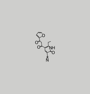 CCc1[nH]c(=O)c(C#N)cc1C(=O)CC(=O)c1ccco1